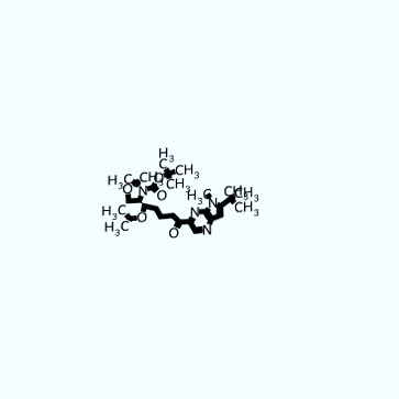 CC(C)OC(CCCC(=O)c1cnc2cc(C(C)(C)C)n(C)c2n1)[C@@H]1COC(C)(C)N1C(=O)OC(C)(C)C